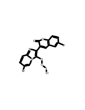 CCSOOc1c(-c2cc3cc(F)ccc3oc2=O)nc2ccc(Br)cn12